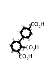 O=C(O)c1ccc(-c2cccc(C(=O)O)c2C(=O)O)cc1